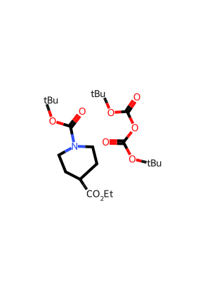 CC(C)(C)OC(=O)OC(=O)OC(C)(C)C.CCOC(=O)C1CCN(C(=O)OC(C)(C)C)CC1